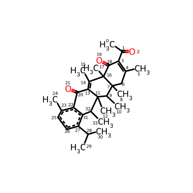 CC(=O)C1=C(C)CC2(C)C(C)C3(C)C(=C(C)C2(C)C1=O)C(=O)c1c(C)ccc(C(C)C)c1C3C